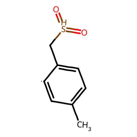 Cc1c[c]c(C[SH](=O)=O)cc1